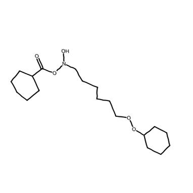 O=C(ON(O)CCCCCCOOC1CCCCC1)C1CCCCC1